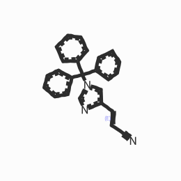 N#C/C=C/c1cn(C(c2ccccc2)(c2ccccc2)c2ccccc2)cn1